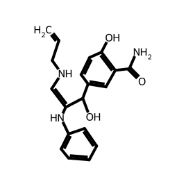 C=CCNC=C(Nc1ccccc1)C(O)c1ccc(O)c(C(N)=O)c1